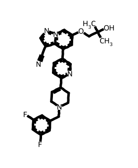 CC(C)(O)COc1cc(-c2ccc(C3=CCN(Cc4cc(F)cc(F)c4)CC3)nc2)c2c(C#N)cnn2c1